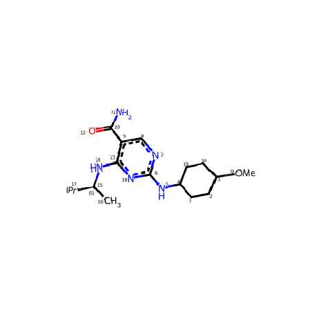 COC1CCC(Nc2ncc(C(N)=O)c(N[C@@H](C)C(C)C)n2)CC1